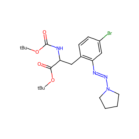 CC(C)(C)OC(=O)NC(Cc1ccc(Br)cc1N=NN1CCCC1)C(=O)OC(C)(C)C